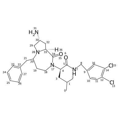 CC(C)C[C@H](C(=O)NCc1ccc(Cl)c(Cl)c1)N1CCC(Cc2ccccc2)N2C[C@H](N)C[C@H]2C1=O